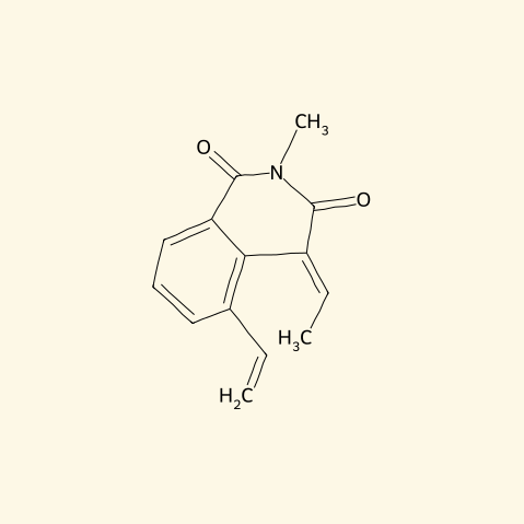 C=Cc1cccc2c1/C(=C\C)C(=O)N(C)C2=O